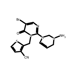 N#Cc1ccsc1Cn1c(N2C=CCN(N)C2)ncc(Br)c1=O